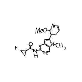 COc1ncccc1-c1cc2cc(NC(=O)C3C[C@@H]3F)ncc2n1C